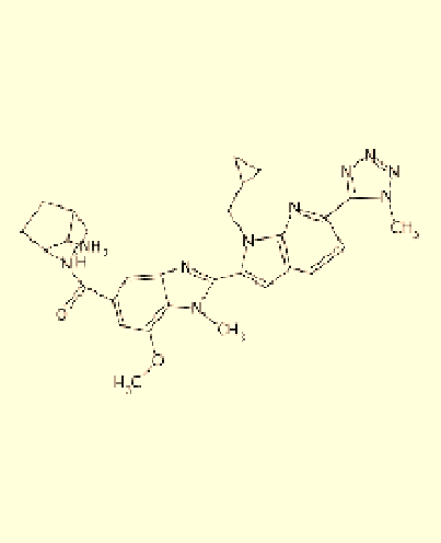 COc1cc(C(=O)N2CC3CCC2[C@@H]3N)cc2nc(-c3cc4ccc(-c5nnnn5C)nc4n3CC3CC3)n(C)c12